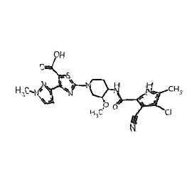 CO[C@H]1CN(c2nc(-c3ccn(C)n3)c(C(=O)O)s2)CC[C@H]1NC(=O)c1[nH]c(C)c(Cl)c1C#N